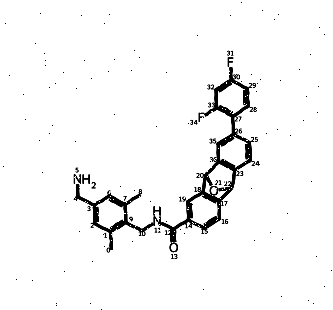 Cc1cc(CN)cc(C)c1CNC(=O)c1ccc2c(c1)C1OC2c2ccc(-c3ccc(F)cc3F)cc21